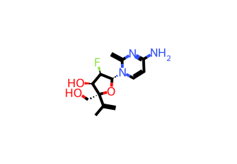 C=C1N=C(N)C=CN1[C@@H]1O[C@@](CO)(C(=C)C)[C@@H](O)[C@H]1F